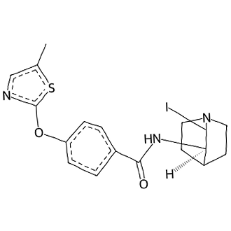 Cc1cnc(Oc2ccc(C(=O)N[C@@H]3C4CCN(CC4)C3I)cc2)s1